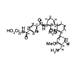 COc1cc(-c2cccc(-c3cccc(NC(=O)c4ccc(C(=O)NCC(=O)O)cn4)c3C)c2C)cc(F)c1CN